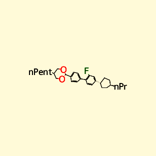 CCCCCC1COC(c2ccc(-c3ccc([C@H]4CC[C@H](CCC)CC4)cc3F)cc2)OC1